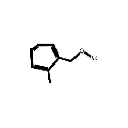 Cc1ccccc1CO[Si]